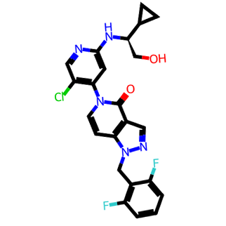 O=c1c2cnn(Cc3c(F)cccc3F)c2ccn1-c1cc(N[C@H](CO)C2CC2)ncc1Cl